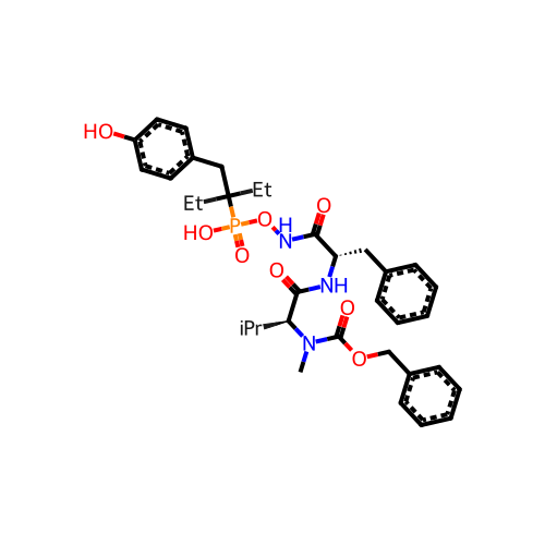 CCC(CC)(Cc1ccc(O)cc1)P(=O)(O)ONC(=O)[C@H](Cc1ccccc1)NC(=O)[C@H](C(C)C)N(C)C(=O)OCc1ccccc1